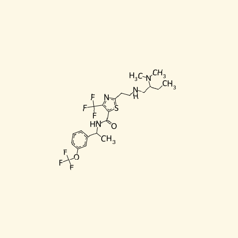 CCC(CNCCc1nc(C(F)(F)F)c(C(=O)NC(C)c2cccc(OC(F)(F)F)c2)s1)N(C)C